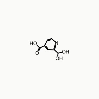 O=C(O)c1ccnc(C(O)O)c1